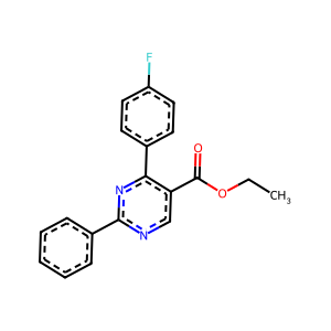 CCOC(=O)c1cnc(-c2ccccc2)nc1-c1ccc(F)cc1